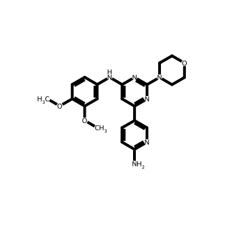 COc1ccc(Nc2cc(-c3ccc(N)nc3)nc(N3CCOCC3)n2)cc1OC